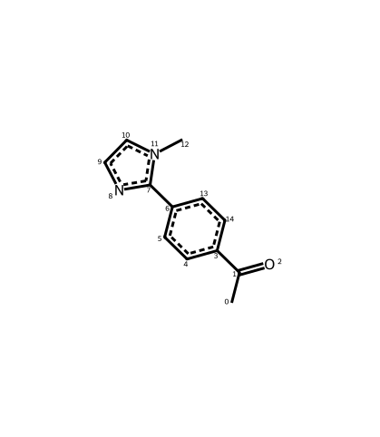 CC(=O)c1ccc(-c2nccn2C)cc1